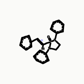 CC/C(=C\c1ccccc1)P1(=O)N(c2ccccc2)CCN1c1ccccc1